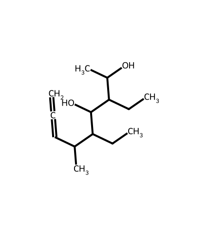 C=C=CC(C)C(CC)C(O)C(CC)C(C)O